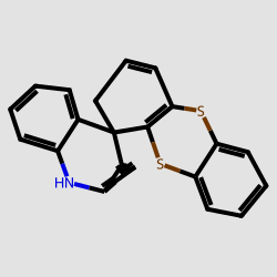 C1=CC2=C(Sc3ccccc3S2)C2(C1)c1ccccc1Nc1ccccc12